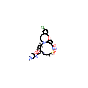 CO[C@@]1(Cc2nc(CN(C)C)c(C)o2)/C=C/C[C@H](C)[C@@H](C)S(=O)(=O)NC(=O)c2ccc3c(c2)N(CCCCc2cc(Cl)ccc2CO3)C[C@@H]2CC[C@H]21